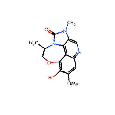 COc1cc2ncc3c4c2c(c1Br)OCC(C)n4c(=O)n3C